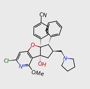 COc1nc(Cl)cc2c1[C@]1(O)C[C@H](CN3CCCC3)[C@@H](c3ccccc3)[C@]1(c1ccc(C#N)cc1)O2